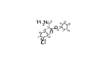 CC(N)C(Cc1ccc(Cl)cc1)C(=O)OCc1ccccc1